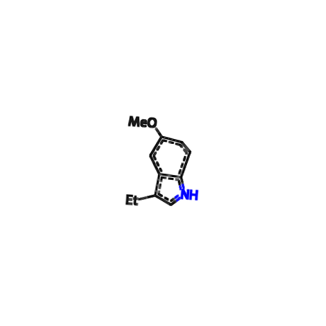 [CH2]Cc1c[nH]c2ccc(OC)cc12